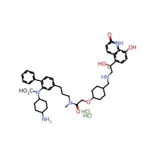 CN(CCCc1ccc(-c2ccccc2)c(N(C(=O)O)C2CCC(N)CC2)c1)C(=O)COC1CCC(CNC[C@@H](O)c2ccc(O)c3[nH]c(=O)ccc23)CC1.Cl.Cl